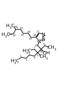 CCCCCC(C)(CC)[C@@](O)(CC)Cn1nncc1CCCCC(C)CC